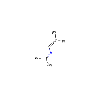 CCC(=C/N=C(\CC)SC)CC